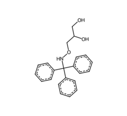 OCC(O)CONC(c1ccccc1)(c1ccccc1)c1ccccc1